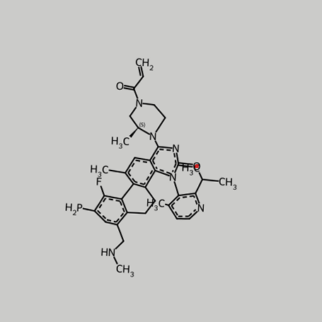 C=CC(=O)N1CCN(c2nc(=O)n(-c3c(C)ccnc3C(C)C)c3c4c(c(C)cc23)-c2c(F)c(P)cc(CNC)c2CC4)[C@@H](C)C1